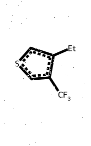 [CH2]Cc1cscc1C(F)(F)F